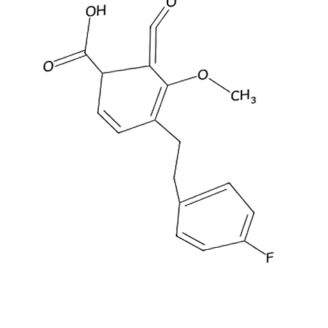 COC1=C(CCc2ccc(F)cc2)C=CC(C(=O)O)C1=C=O